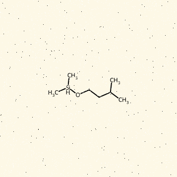 CC(C)C[CH]O[SiH](C)C